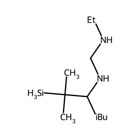 CCNCNC(C(C)CC)C(C)(C)[SiH3]